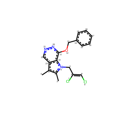 Cc1c(C)n(CC(Cl)=CCl)c2c(OCc3ccccc3)nncc12